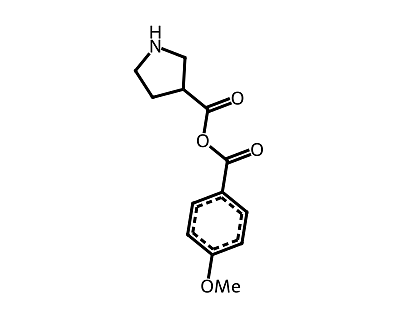 COc1ccc(C(=O)OC(=O)C2CCNC2)cc1